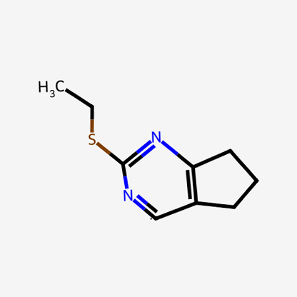 CCSc1n[c]c2c(n1)CCC2